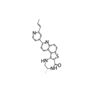 C/C=C/c1cc(-c2ccc3c(ccc4sc5c(c43)NC[C@@H](C)NC5=O)n2)ccn1